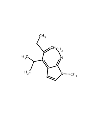 C=C(CC)/C(=C1/C=CN(C)/C1=N/C)C(C)C